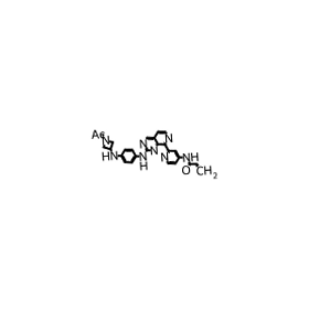 C=CC(=O)Nc1ccnc(-c2nccc3cnc(Nc4ccc(NC5CN(C(C)=O)C5)cc4)nc23)c1